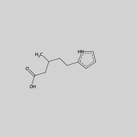 CC(CCc1ccc[nH]1)CC(=O)O